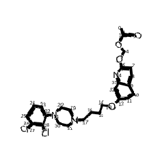 CC(=O)OCOc1ccc2ccc(OCCCCN3CCN(c4cccc(Cl)c4Cl)CC3)cc2n1